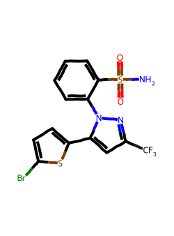 NS(=O)(=O)c1ccccc1-n1nc(C(F)(F)F)cc1-c1ccc(Br)s1